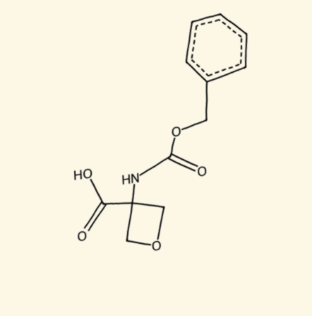 O=C(NC1(C(=O)O)COC1)OCc1ccccc1